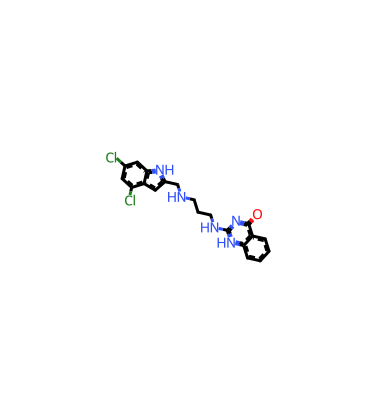 O=c1nc(NCCCNCc2cc3c(Cl)cc(Cl)cc3[nH]2)[nH]c2ccccc12